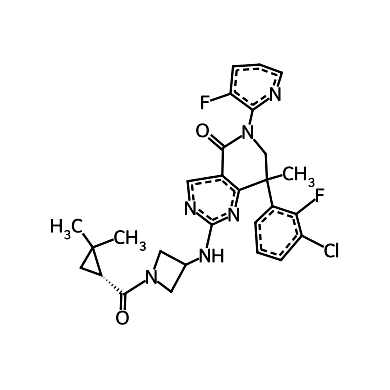 CC1(c2cccc(Cl)c2F)CN(c2ncccc2F)C(=O)c2cnc(NC3CN(C(=O)[C@@H]4CC4(C)C)C3)nc21